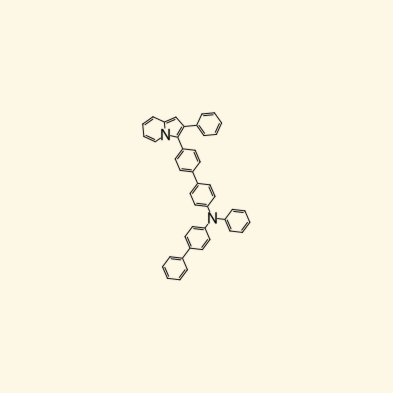 c1ccc(-c2ccc(N(c3ccccc3)c3ccc(-c4ccc(-c5c(-c6ccccc6)cc6ccccn56)cc4)cc3)cc2)cc1